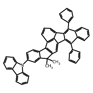 CC1(C)c2cc(-n3c4ccccc4c4ccccc43)ccc2-c2c1cc1c3c(cccc23)-c2c-1c(-c1ccccc1)c1ccccc1c2-c1ccccc1